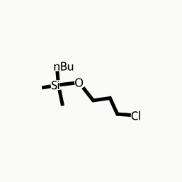 CCCC[Si](C)(C)OCCCCl